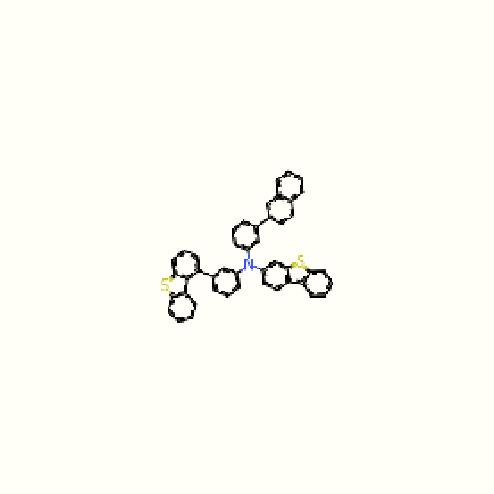 c1cc(-c2ccc3ccccc3c2)cc(N(c2cccc(-c3cccc4sc5ccccc5c34)c2)c2ccc3c(c2)sc2ccccc23)c1